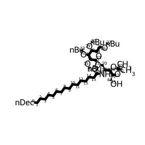 CCCCCCCCCCCCCCCCCCCCCCCCCC(=O)N[C@@H](COC1OC(COCCCC)C(OCCCC)C(OCCCC)C1OCCCC)[C@@H]1OC(C)(C)O[C@@H]1CO